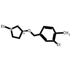 CCc1cc(CO[C@H]2CCN(CC)C2)ccc1C